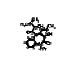 CCCN1C(=O)c2[nH]c(C)cc2N(C(=O)C(C)N(C)C)c2ccccc21